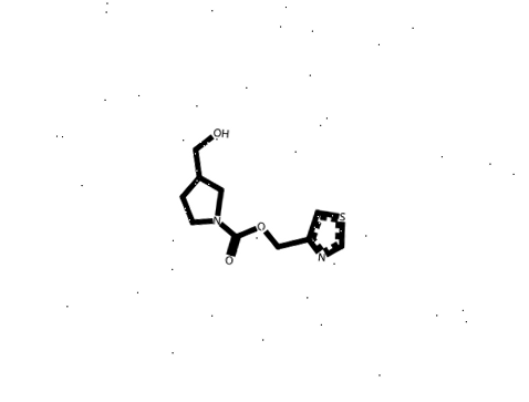 O=C(OCc1cscn1)N1CCC(CO)C1